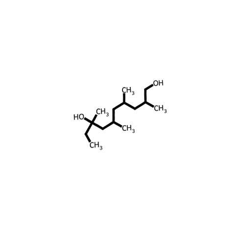 CCC(C)(O)CC(C)CC(C)CC(C)CO